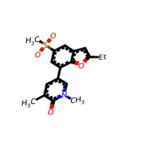 CCc1cc2cc(S(C)(=O)=O)cc(-c3cc(C)c(=O)n(C)c3)c2o1